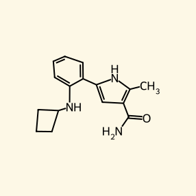 Cc1[nH]c(-c2ccccc2NC2CCC2)cc1C(N)=O